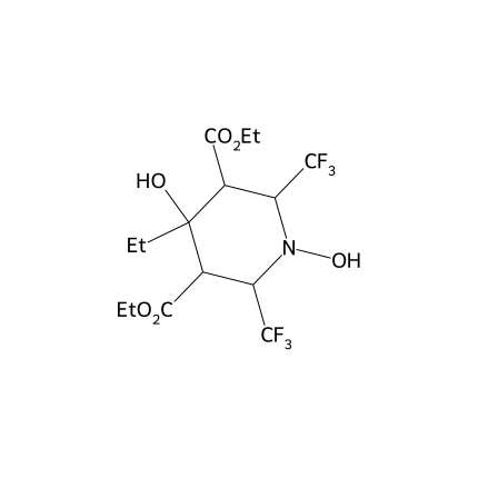 CCOC(=O)C1C(C(F)(F)F)N(O)C(C(F)(F)F)C(C(=O)OCC)C1(O)CC